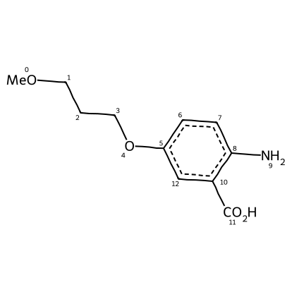 COCCCOc1ccc(N)c(C(=O)O)c1